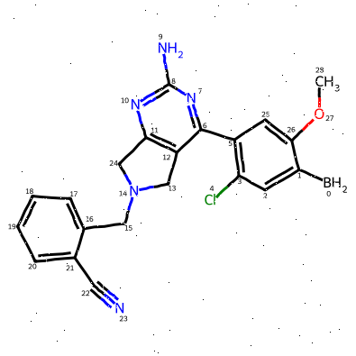 Bc1cc(Cl)c(-c2nc(N)nc3c2CN(Cc2ccccc2C#N)C3)cc1OC